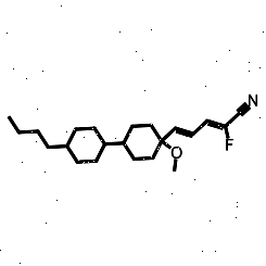 CCCCC1CCC(C2CCC(C=CC=C(F)C#N)(OC)CC2)CC1